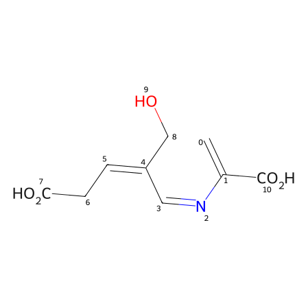 C=C(/N=C\C(=C/CC(=O)O)CO)C(=O)O